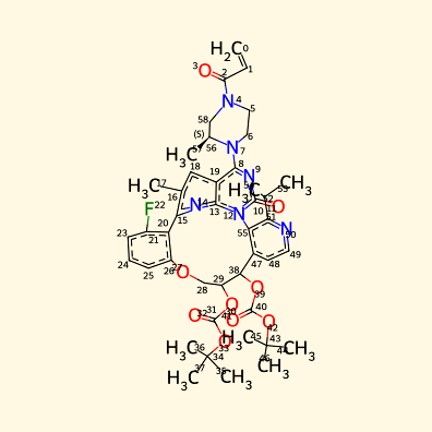 C=CC(=O)N1CCN(c2nc(=O)n3c4nc(c(C)cc24)-c2c(F)cccc2OCC(OC(=O)OC(C)(C)C)C(OC(=O)OC(C)(C)C)c2ccnc(C(C)C)c2-3)[C@@H](C)C1